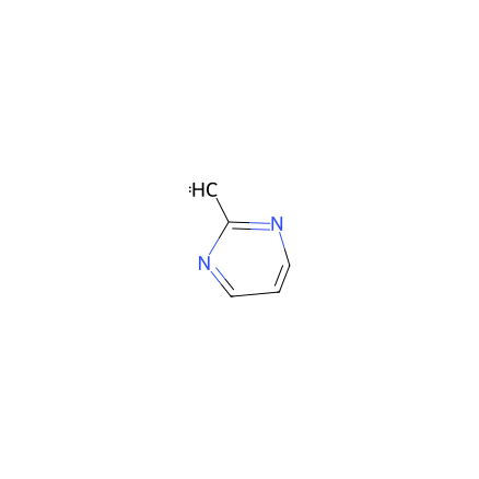 [CH]c1ncccn1